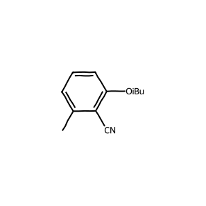 Cc1cccc(OCC(C)C)c1C#N